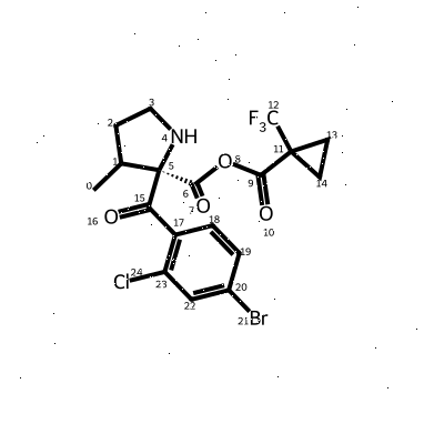 CC1CCN[C@@]1(C(=O)OC(=O)C1(C(F)(F)F)CC1)C(=O)c1ccc(Br)cc1Cl